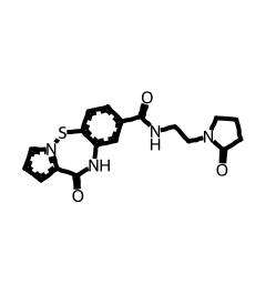 O=C(NCCN1CCCC1=O)c1ccc2c(c1)NC(=O)c1cccn1S2